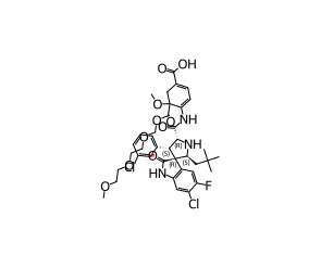 COCCOCCOCOC(=O)C1(OC)CC(C(=O)O)=CC=C1NC(=O)[C@@H]1N[C@@H](CC(C)(C)C)[C@@]2(C(=O)Nc3cc(Cl)c(F)cc32)[C@@H]1c1cccc(Cl)c1